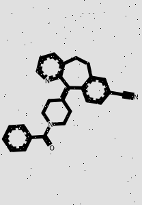 N#Cc1ccc2c(c1)CCc1cccnc1C2=C1CCN(C(=O)c2ccccc2)CC1